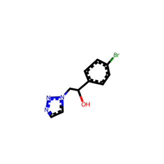 OC(Cn1ccnn1)c1ccc(Br)cc1